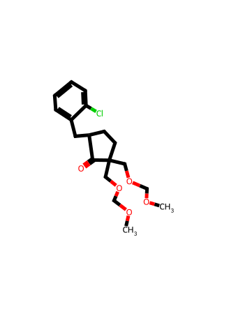 COCOCC1(COCOC)CCC(Cc2ccccc2Cl)C1=O